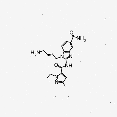 CCn1nc(C)cc1C(=O)Nc1nc2cc(C(N)=O)ccc2n1C/C=C/CN